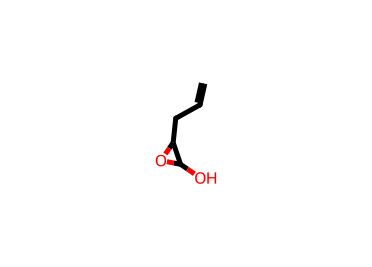 C=CCC1OC1O